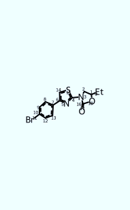 CCC1CN(c2nc(-c3ccc(Br)cc3)cs2)C(=O)O1